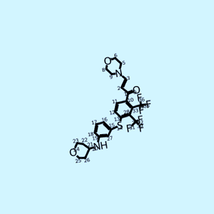 O=C(C=CN1CCOCC1)c1ccc(Sc2cccc(NC3CCOCC3)c2)c(C(F)(F)F)c1C(F)(F)F